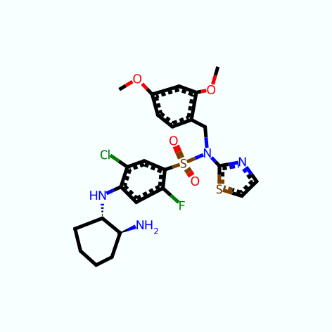 COc1ccc(CN(c2nccs2)S(=O)(=O)c2cc(Cl)c(N[C@H]3CCCC[C@@H]3N)cc2F)c(OC)c1